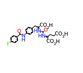 O=C(O)CC[C@H](NC(=O)N[C@@H](Cc1ccc(NC(=O)c2ccc(F)cc2)cc1)C(=O)O)C(=O)O